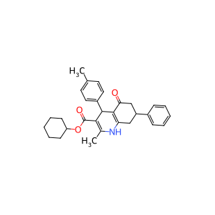 CC1=C(C(=O)OC2CCCCC2)C(c2ccc(C)cc2)C2=C(CC(c3ccccc3)CC2=O)N1